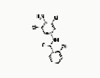 Nc1c(Cl)cc(NC(=O)c2ccccc2O)cc1Cl